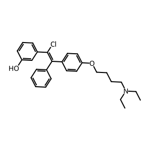 CCN(CC)CCCCOc1ccc(/C(=C(\Cl)c2cccc(O)c2)c2ccccc2)cc1